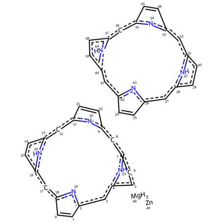 C1=Cc2cc3ccc(cc4nc(cc5ccc(cc1n2)[nH]5)C=C4)[nH]3.C1=Cc2cc3ccc(cc4nc(cc5ccc(cc1n2)[nH]5)C=C4)[nH]3.[MgH2].[Zn]